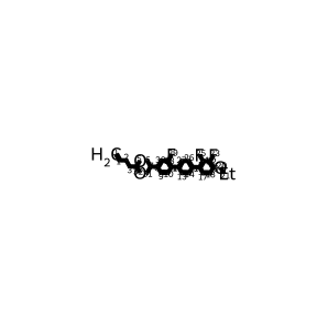 C=CCCC1OCC(c2ccc(-c3ccc(-c4ccc(OCC)c(F)c4F)cc3)c(F)c2)CO1